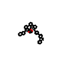 CC1(C)c2ccccc2-c2cc(-c3ccc(N(c4ccccc4)c4cccc5c6cccc7c8cccc9c8c8c(cccc8n(c45)c76)n9-c4ccc5ccccc5c4)cc3)ccc21